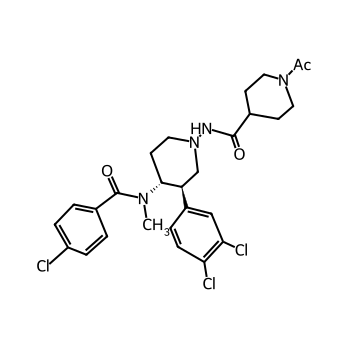 CC(=O)N1CCC(C(=O)NN2CC[C@@H](N(C)C(=O)c3ccc(Cl)cc3)[C@H](c3ccc(Cl)c(Cl)c3)C2)CC1